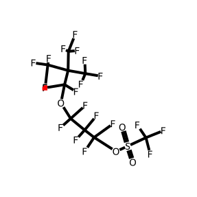 O=S(=O)(OC(F)(F)C(F)(F)C(F)(F)OC(F)(F)C(C(F)(F)F)(C(F)(F)F)C(F)(F)F)C(F)(F)F